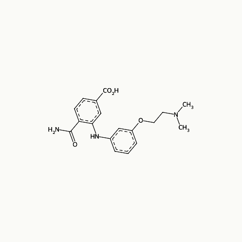 CN(C)CCOc1cccc(Nc2cc(C(=O)O)ccc2C(N)=O)c1